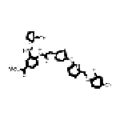 CCN1CCC[C@H]1CNc1cc(C(=O)OC)ccc1NC(=O)CN1CCC(Oc2cccc(COc3ccc(C#N)cc3F)n2)CC1